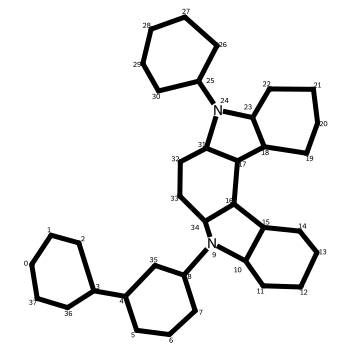 C1CCC(C2CCCC(N3C4CCCCC4C4C5C6CCCCC6N(C6CCCCC6)C5CCC43)C2)CC1